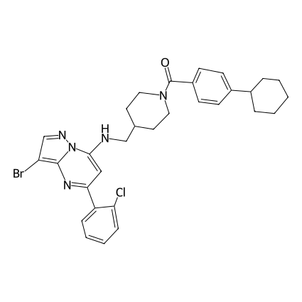 O=C(c1ccc(C2CCCCC2)cc1)N1CCC(CNc2cc(-c3ccccc3Cl)nc3c(Br)cnn23)CC1